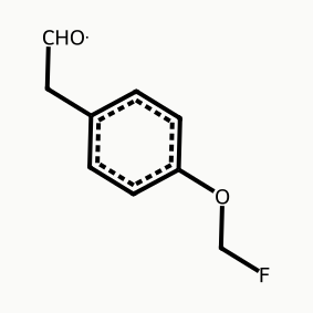 O=[C]Cc1ccc(OCF)cc1